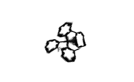 Fc1ccccc1C1(c2ccccc2F)c2ccccc2-c2ccccc21